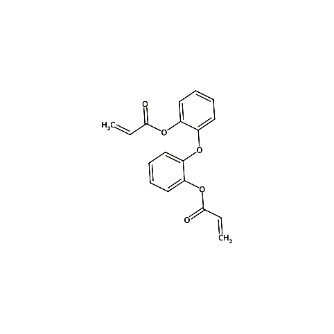 C=CC(=O)Oc1ccccc1Oc1ccccc1OC(=O)C=C